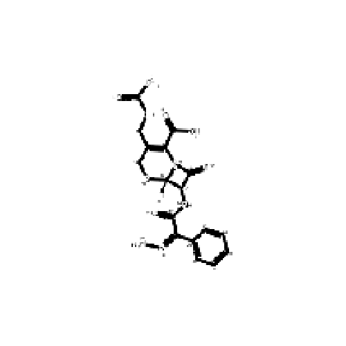 CC(=O)OCC1=C(C(=O)O)N2C(=O)C(NC(=O)/C(=N\N)c3ccccc3)[C@@H]2SC1